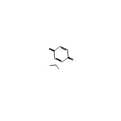 CC(C)CC(=O)O.O=C1C=CC(=O)C=C1